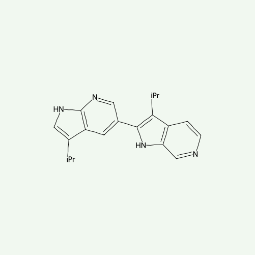 CC(C)c1c(-c2cnc3[nH]cc(C(C)C)c3c2)[nH]c2cnccc12